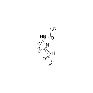 C=CC(=O)Nc1ccnc(NC(=O)C=C)n1